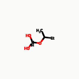 CCC(C)O[SiH](O)O